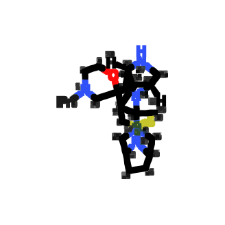 CC(C)N1CCOC2(CC2CS(=S)N2C3CCC2CN(C(C)(C)N2C[C@H]4C[C@@H]2CN4)C3)C1